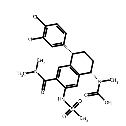 CN(C)C(=O)c1cc2c(cc1NS(C)(=O)=O)[C@@H](N(C)C(=O)O)CC[C@H]2c1ccc(Cl)c(Cl)c1